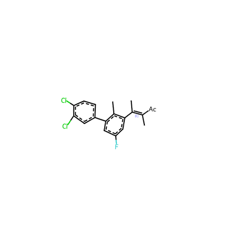 CC(=O)/C(C)=C(\C)c1cc(F)cc(-c2ccc(Cl)c(Cl)c2)c1C